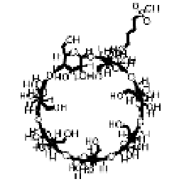 O=S(=O)(O)CCCCO.OC[C@H]1O[C@@H]2O[C@H]3[C@H](O)[C@@H](O)[C@@H](O[C@H]4[C@H](O)[C@@H](O)[C@@H](O[C@H]5[C@H](O)[C@@H](O)[C@@H](O[C@H]6[C@H](O)[C@@H](O)[C@@H](O[C@H]7[C@H](O)[C@@H](O)[C@@H](O[C@H]8[C@H](O)[C@@H](O)[C@@H](O[C@H]1[C@H](O)[C@H]2O)O[C@@H]8CO)O[C@@H]7CO)O[C@@H]6CO)O[C@@H]5CO)O[C@@H]4CO)O[C@@H]3CO